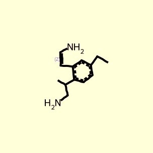 CCc1ccc(C(C)CN)c(/C=C\N)c1